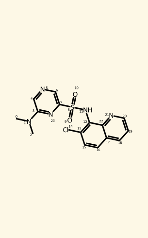 CN(C)c1cncc(S(=O)(=O)Nc2c(Cl)ccc3cccnc23)n1